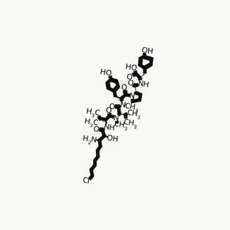 CC(C)[C@H](NC(=O)[C@@H](O)[C@@H](N)CCCCCCCCl)C(=O)N(C)[C@H](C(=O)N(C)[C@@H](Cc1ccc(O)cc1)C(=O)N1CCC[C@H]1C(=O)N[C@@H](Cc1ccc(O)cc1)C(=O)O)C(C)C